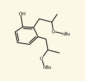 CCCCOC(C)Cc1cccc(O)c1CC(C)OCCCC